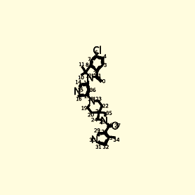 C=C1c2ccc(Cl)cc2C(C)(C)N1c1cncc(N2CCC3(CC2)CN(C(=O)c2cnccc2C)C3)c1